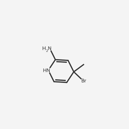 CC1(Br)C=CNC(N)=C1